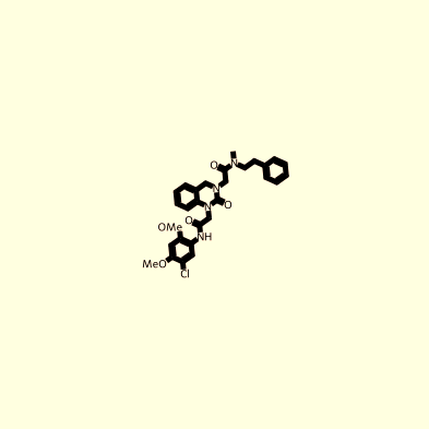 COc1cc(OC)c(NC(=O)CN2C(=O)N(CC(=O)N(C)CCc3ccccc3)Cc3ccccc32)cc1Cl